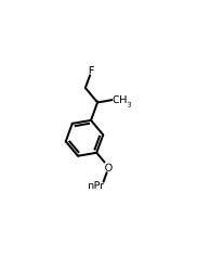 CCCOc1cccc([C](C)CF)c1